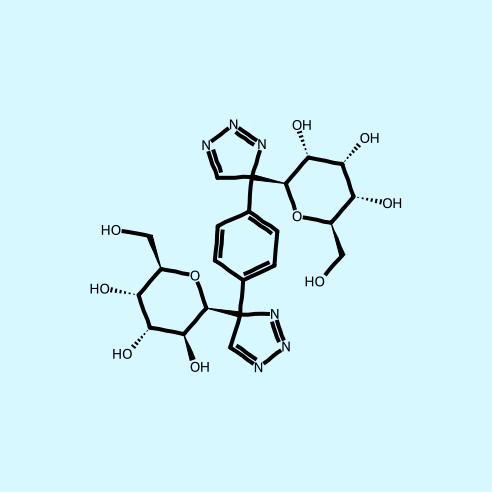 OC[C@H]1O[C@@H](C2(c3ccc(C4([C@@H]5O[C@H](CO)[C@@H](O)[C@@H](O)[C@@H]5O)C=NN=N4)cc3)C=NN=N2)[C@H](O)[C@H](O)[C@@H]1O